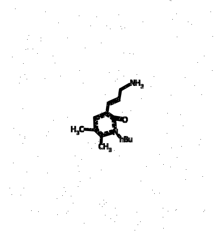 CCCCn1c(C)c(C)cc(C=CCN)c1=O